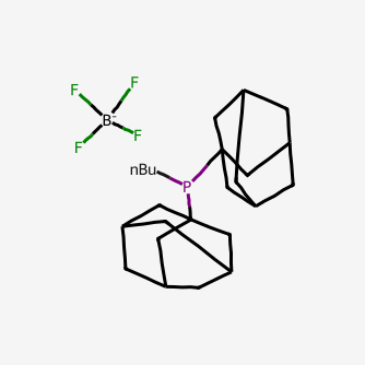 CCCCP(C12CC3CC(CC(C3)C1)C2)C12CC3CC(CC(C3)C1)C2.F[B-](F)(F)F